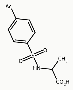 CC(=O)c1ccc(S(=O)(=O)NC(C)C(=O)O)cc1